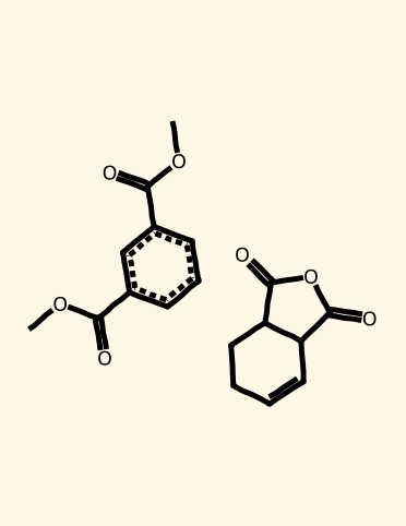 COC(=O)c1cccc(C(=O)OC)c1.O=C1OC(=O)C2CCC=CC12